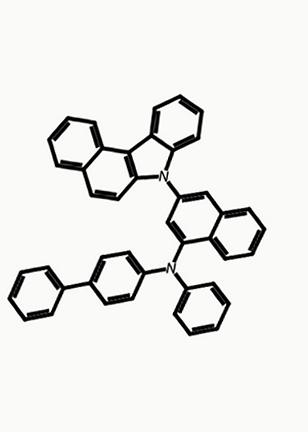 c1ccc(-c2ccc(N(c3ccccc3)c3cc(-n4c5ccccc5c5c6ccccc6ccc54)cc4ccccc34)cc2)cc1